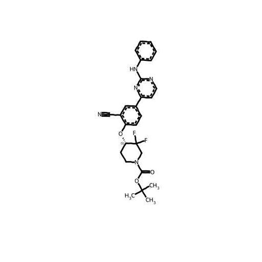 CC(C)(C)OC(=O)N1CC[C@H](Oc2ccc(-c3ccnc(Nc4ccccc4)n3)cc2C#N)C(F)(F)C1